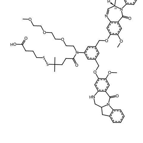 COCCOCCOCCN(C(=O)CCC(C)(C)SSCCCC(=O)O)c1cc(COc2cc3c(cc2OC)C(=O)N2c4ccccc4C[C@H]2C=N3)cc(COc2cc3c(cc2OC)C(=O)N2c4ccccc4CC2CN3)c1